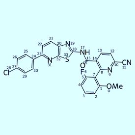 COc1cccc(F)c1-c1nc(C#N)ccc1C(=O)Nc1nc2ccc(-c3ccc(Cl)cc3)nc2s1